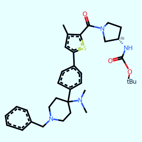 Cc1cc(-c2ccc(C3(N(C)C)CCN(Cc4ccccc4)CC3)cc2)sc1C(=O)N1CC[C@H](NC(=O)OC(C)(C)C)C1